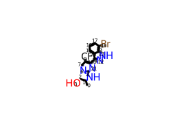 CC(CO)Nc1ncc(C(F)(F)F)c(-c2n[nH]c3c(Br)cccc23)n1